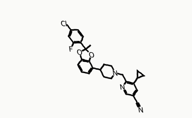 CC1(c2ccc(Cl)cc2F)Oc2cccc(C3CCN(Cc4ncc(C#N)cc4C4CC4)CC3)c2O1